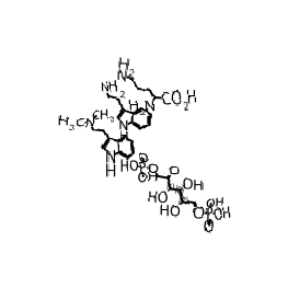 CN(C)CCc1c[nH]c2ccccc12.NCCCC(N)C(=O)O.NCCc1c[nH]c2ccccc12.O=C(COP(=O)(O)O)[C@@H](O)[C@H](O)[C@H](O)COP(=O)(O)O